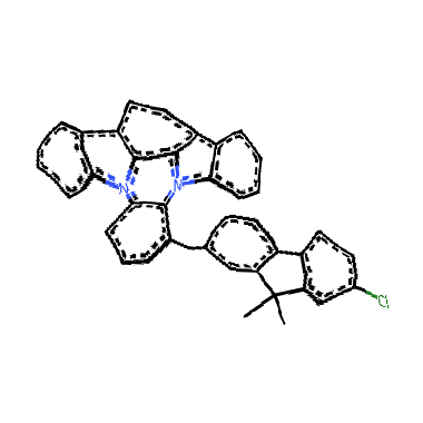 CC1(C)c2cc(Cl)ccc2-c2ccc(-c3cccc4c3n3c5ccccc5c5ccc6c7ccccc7n4c6c53)cc21